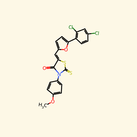 COc1ccc(N2C(=O)C(=Cc3ccc(-c4ccc(Cl)cc4Cl)o3)SC2=S)cc1